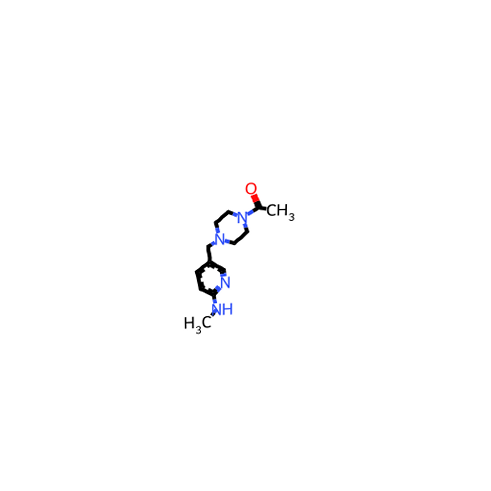 CNc1ccc(CN2CCN(C(C)=O)CC2)cn1